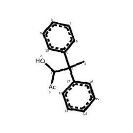 CC(=O)C(O)C(C)(c1ccccc1)c1ccccc1